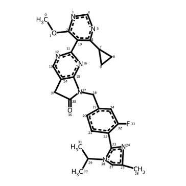 COc1ncnc(C2CC2)c1-c1ncc2c(n1)N(Cc1ccc(-c3nc(C)cn3C(C)C)c(F)c1)C(=O)C2